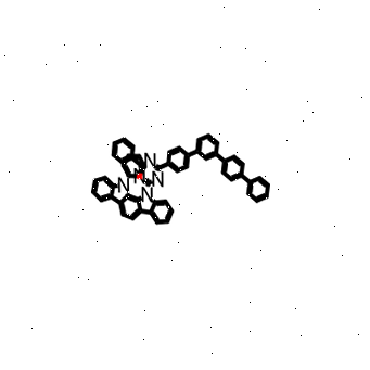 c1ccc(-c2ccc(-c3cccc(-c4ccc(-c5nc(-c6ccccc6)nc(-n6c7ccccc7c7ccc8c9ccccc9n(-c9ccccc9)c8c76)n5)cc4)c3)cc2)cc1